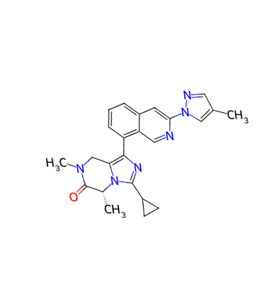 Cc1cnn(-c2cc3cccc(-c4nc(C5CC5)n5c4CN(C)C(=O)[C@H]5C)c3cn2)c1